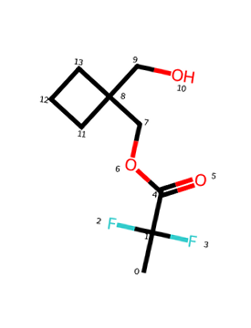 CC(F)(F)C(=O)OCC1(CO)CCC1